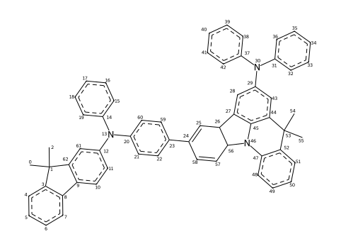 CC1(C)c2ccccc2-c2ccc(N(c3ccccc3)c3ccc(C4=CC5c6cc(N(c7ccccc7)c7ccccc7)cc7c6N(c6ccccc6C7(C)C)C5C=C4)cc3)cc21